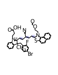 CC1(Cc2ccc(Br)cc2F)C(/C=C/C(C#N)=C/C=C2\Sc3ccc4ccccc4c3N2CCOC=O)=[N+](CCC(=O)O)c2ccccc21